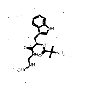 CC(C)(N)C(=O)N[C@H](Cc1c[nH]c2ccccc12)C(=O)NCNC=O